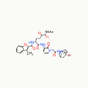 CNC(=O)C(=O)CC[C@H](NC(=O)c1oc2ccccc2c1C)C(=O)Nc1cccn(CC(=O)NC2C3CC4CC2C(Br)(C4)C3)c1=O